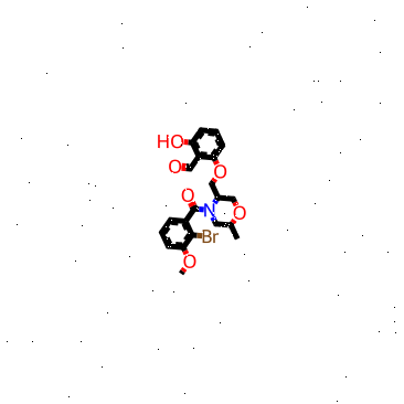 COc1cccc(C(=O)N2CC(C)OCC2COc2cccc(O)c2C=O)c1Br